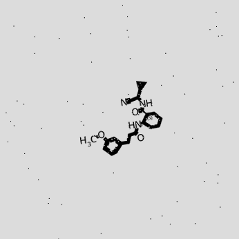 COc1cccc(CCC(=O)N[C@@H]2CCCC[C@@H]2C(=O)NC(C#N)C2CC2)c1